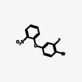 O=[N+]([O-])c1ccccc1Oc1ccc(Br)c(F)c1